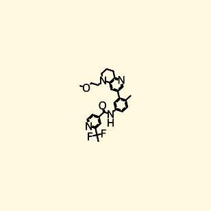 COCCN1CCCc2ncc(-c3cc(NC(=O)c4ccnc(C(C)(F)F)c4)ccc3C)cc21